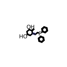 C=C1/C(=C\CP(c2ccccc2)c2ccccc2)C[C@@H](O)CC1O